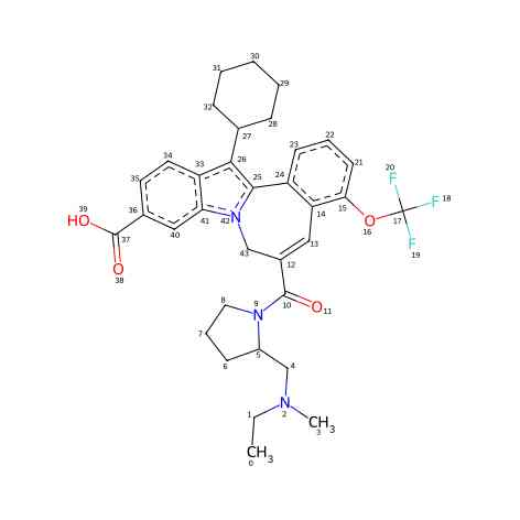 CCN(C)CC1CCCN1C(=O)C1=Cc2c(OC(F)(F)F)cccc2-c2c(C3CCCCC3)c3ccc(C(=O)O)cc3n2C1